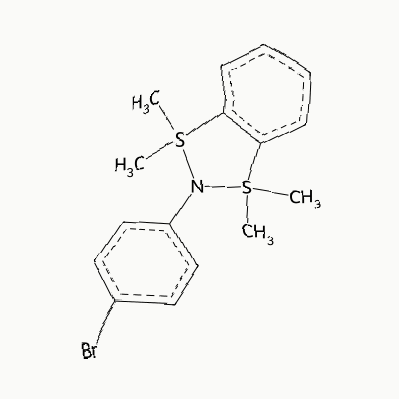 CS1(C)c2ccccc2S(C)(C)N1c1ccc(Br)cc1